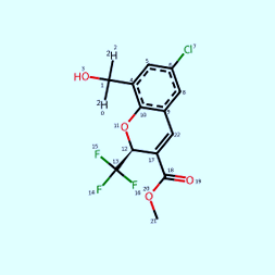 [2H]C([2H])(O)c1cc(Cl)cc2c1O[C@H](C(F)(F)F)C(C(=O)OC)=C2